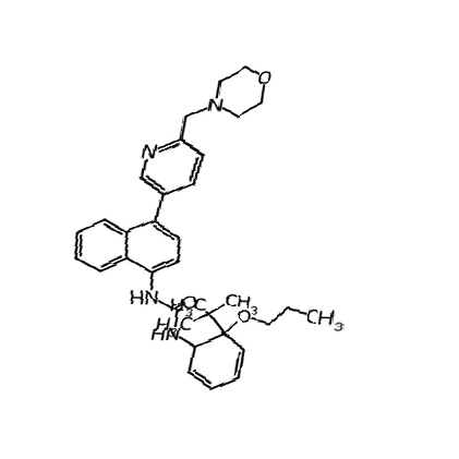 CCCOC1(C(C)(C)C)C=CC=CC1NC(=O)Nc1ccc(-c2ccc(CN3CCOCC3)nc2)c2ccccc12